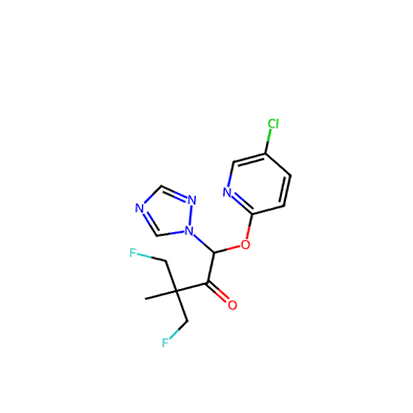 CC(CF)(CF)C(=O)C(Oc1ccc(Cl)cn1)n1cncn1